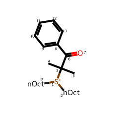 CCCCCCCC[S+](CCCCCCCC)C(C)(C)C(=O)c1ccccc1